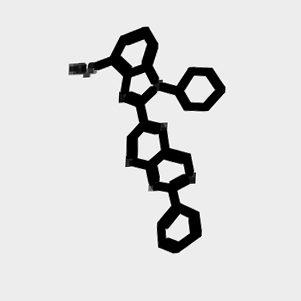 O=C(O)c1cccc2c1nc(-c1cnc3nc(-c4ccccc4)ncc3n1)n2C1CCCCC1